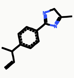 C=CC(C)c1ccc(C2=NCC(C)=N2)cc1